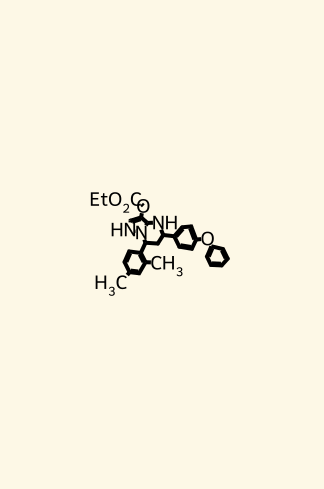 CCOC(=O)OC1=CNN2C1NC(c1ccc(Oc3ccccc3)cc1)CC2c1ccc(C)cc1C